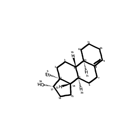 CC[C@]12CC[C@H]3[C@@H](CCC4=CCCC[C@@H]43)[C@@H]1CC[C@@H]2O